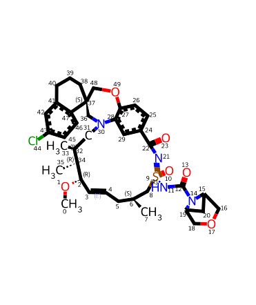 CO[C@H]1/C=C/C[C@H](C)C[S@@](=O)(NC(=O)N2C3COCC2C3)=NC(=O)c2ccc3c(c2)N(C[C@H](C)[C@H]1C)C[C@@]1(CCCc2cc(Cl)ccc21)CO3